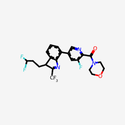 O=C(c1ncc(-c2cccc3c2N=C(C(F)(F)F)C3CCC(F)F)cc1F)N1CCOCC1